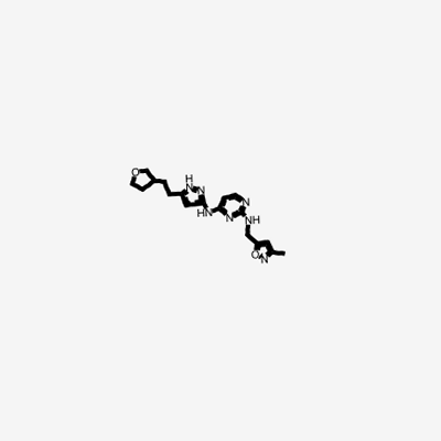 Cc1cc(CNc2nccc(Nc3cc(CCC4CCOC4)[nH]n3)n2)on1